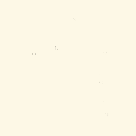 COc1ccc2ncc(F)c(CC(=O)C34CCC(N)(CC3)CO4)c2n1